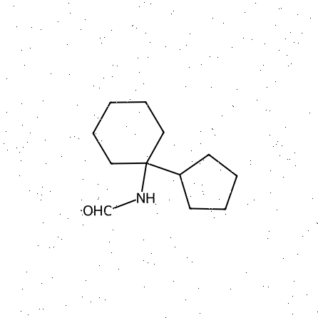 O=[C]NC1(C2CCCC2)CCCCC1